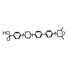 CC1CN(c2ccc(-c3ccc(N4CCN(c5ccc(C(=O)O)cc5)CC4)cc3)cc2)CC(C)O1